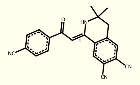 CC1(C)Cc2cc(C#N)c(C#N)cc2/C(=C/C(=O)c2ccc(C#N)cc2)N1